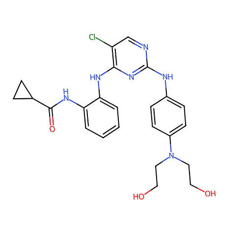 O=C(Nc1ccccc1Nc1nc(Nc2ccc(N(CCO)CCO)cc2)ncc1Cl)C1CC1